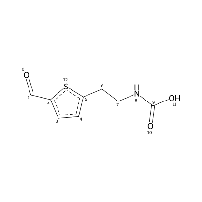 O=Cc1ccc(CCNC(=O)O)s1